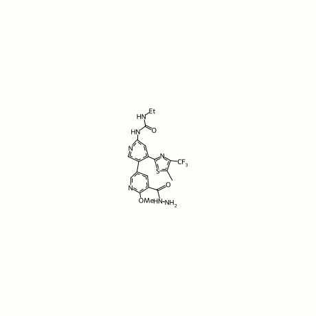 CCNC(=O)Nc1cc(-c2nc(C(F)(F)F)c(C)s2)c(-c2cnc(OC)c(C(=O)NN)c2)cn1